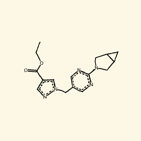 CCOC(=O)c1cnn(Cc2cnc(N3CC4CC4C3)nc2)c1